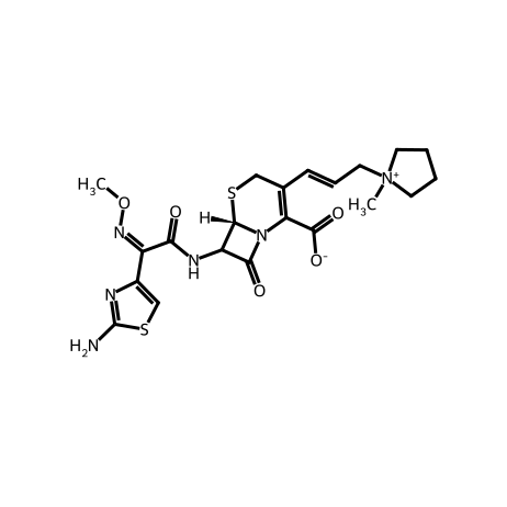 CO/N=C(\C(=O)NC1C(=O)N2C(C(=O)[O-])=C(C=CC[N+]3(C)CCCC3)CS[C@@H]12)c1csc(N)n1